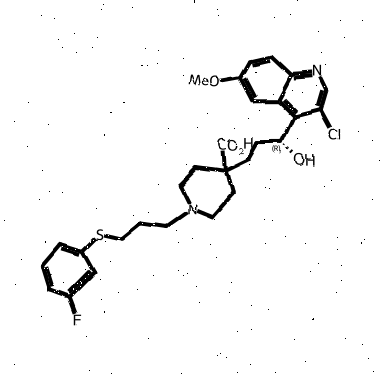 COc1ccc2ncc(Cl)c([C@H](O)CCC3(C(=O)O)CCN(CCCSc4cccc(F)c4)CC3)c2c1